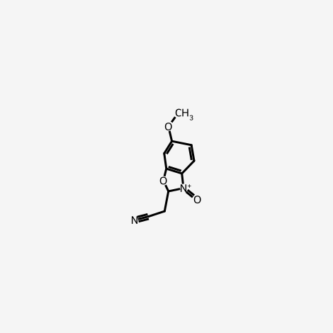 COc1ccc2c(c1)OC(CC#N)[N+]2=O